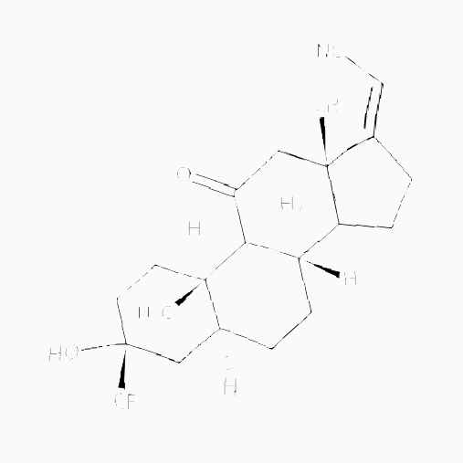 C[C@]12CC[C@](O)(C(F)(F)F)C[C@@H]1CC[C@@H]1[C@@H]2C(=O)C[C@]2(C)/C(=C\C#N)CC[C@@H]12